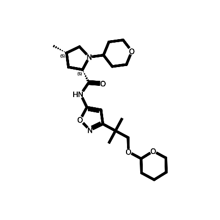 C[C@H]1C[C@@H](C(=O)Nc2cc(C(C)(C)COC3CCCCO3)no2)N(C2CCOCC2)C1